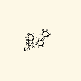 Brc1nc(-c2cccc(-c3ccccc3)c2)c2ccccc2n1